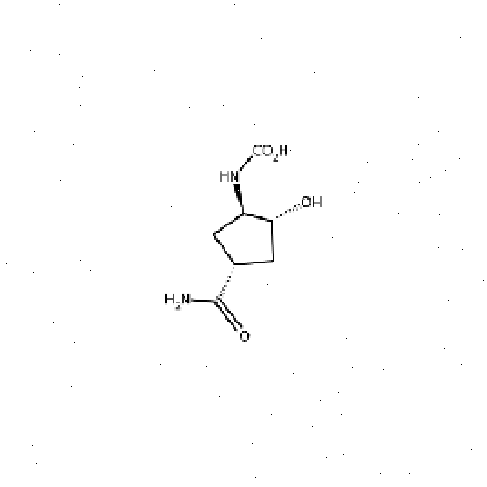 NC(=O)[C@H]1C[C@@H](O)[C@H](NC(=O)O)C1